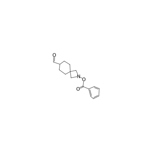 O=CC1CCC2(CC1)CN(OC(=O)c1ccccc1)C2